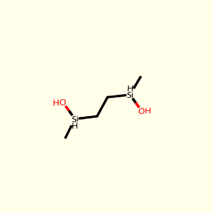 C[SiH](O)CC[SiH](C)O